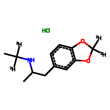 Cl.[2H]C([2H])(C)NC(C)Cc1ccc2c(c1)OC([2H])([2H])O2